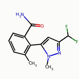 Cc1cccc(C(N)=O)c1-c1cc(C(F)F)nn1C